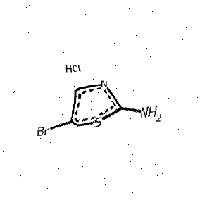 Cl.Nc1ncc(Br)s1